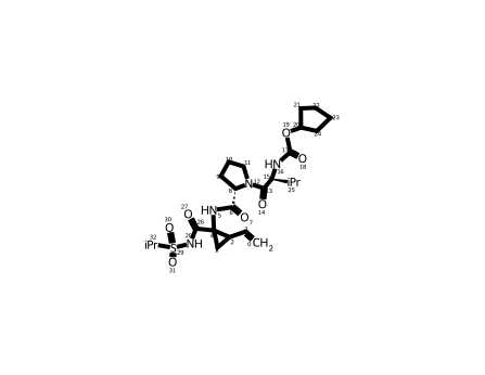 C=CC1CC1(NC(=O)[C@@H]1CCCN1C(=O)[C@@H](NC(=O)OC1CCCC1)C(C)C)C(=O)NS(=O)(=O)C(C)C